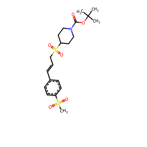 CC(C)(C)OC(=O)N1CCC(S(=O)(=O)CC=Cc2ccc(S(C)(=O)=O)cc2)CC1